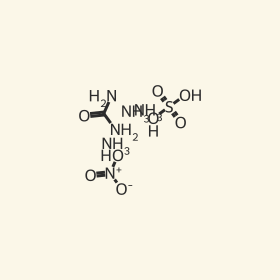 N.N.N.NC(N)=O.O=S(=O)(O)O.O=[N+]([O-])O